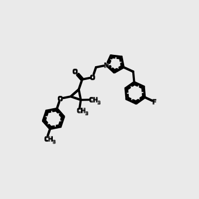 Cc1ccc(OC2C(C(=O)OCn3ccc(Cc4cccc(F)c4)c3)C2(C)C)cc1